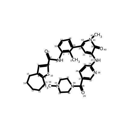 Cc1c(NC(=O)c2cc3c(s2)CCCCC3)cccc1-c1cc(Nc2ccc(C(=O)N3CCN(C)CC3)cn2)c(=O)n(C)c1